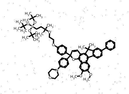 COc1cc2c3c(c4c(c2cc1OC)-c1ccc(-c2ccccc2)cc1C4(C)C)C=CC(c1ccc(OCCOC(C)(C)CC[Si](OC(C)(C)C)(OC(C)(C)C)OC(C)(C)C)cc1)(c1ccc(N2CCOCC2)cc1)O3